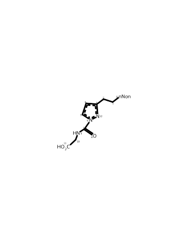 CCCCCCCCCCCc1ccn(C(=O)NCC(=O)O)n1